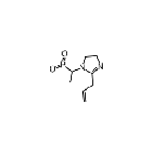 C=CCC1=NCCN1C(C)P(=O)=O